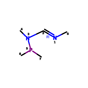 C/N=C/N(C)P(C)C